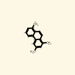 Cc1cc(C)c2ccc3c(C)cccc3c2c1